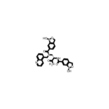 NC(=O)[C@H](CN(Cc1cccc2ncccc12)C(=O)c1ccc2c(c1)B(O)OC2)NC(=O)c1ccc2c(c1)B(O)OC2